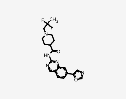 CC(F)(F)CN1CCC(C(=O)Nc2ncc3ccc(-c4cnco4)cc3n2)CC1